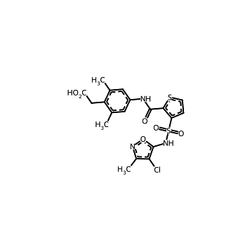 Cc1cc(NC(=O)c2sccc2S(=O)(=O)Nc2onc(C)c2Cl)cc(C)c1CC(=O)O